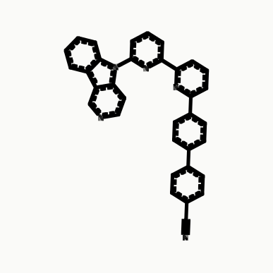 N#Cc1ccc(-c2ccc(-c3cccc(-c4cccc(-n5c6ccccc6c6cnccc65)n4)n3)cc2)cc1